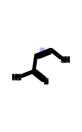 S=C(S)/C=C\S